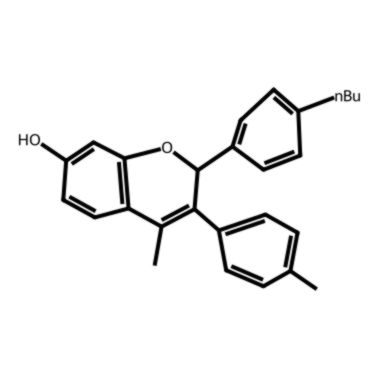 CCCCc1ccc(C2Oc3cc(O)ccc3C(C)=C2c2ccc(C)cc2)cc1